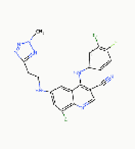 Cn1nnc(CCNc2cc(Cl)c3ncc(C#N)c(Nc4ccc(F)c(Cl)c4)c3c2)n1